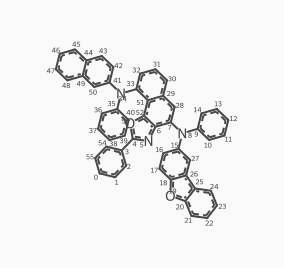 c1ccc(-c2nc3c(N(c4ccccc4)c4ccc5oc6ccccc6c5c4)cc4cccc(N(c5ccccc5)c5ccc6ccccc6c5)c4c3o2)cc1